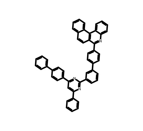 c1ccc(-c2ccc(-c3cc(-c4ccccc4)nc(-c4cccc(-c5ccc(-c6nc7ccccc7c7c6ccc6ccccc67)cc5)c4)n3)cc2)cc1